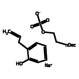 C=CCc1ccccc1O.CCCCCCCCCCCCOS(=O)(=O)[O-].[Na+]